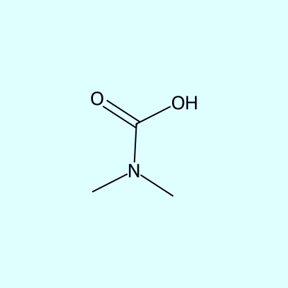 CN(C)C(=O)O